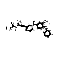 CC(=O)NC(C)C#CC1=CN(Nc2ccc(Oc3ccccc3)c(C)c2)C=CN1